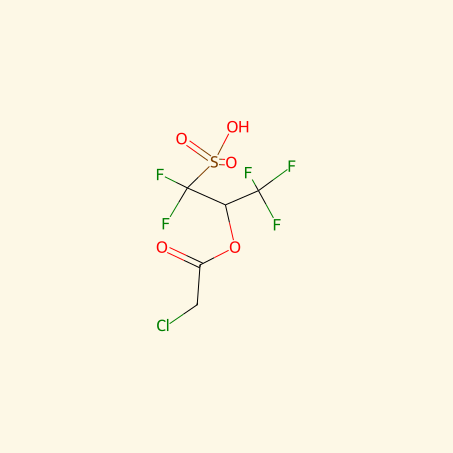 O=C(CCl)OC(C(F)(F)F)C(F)(F)S(=O)(=O)O